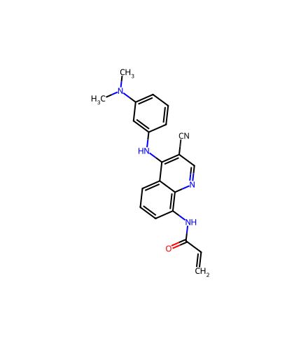 C=CC(=O)Nc1cccc2c(Nc3cccc(N(C)C)c3)c(C#N)cnc12